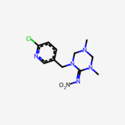 CN1CN(C)/C(=N/[N+](=O)[O-])N(Cc2ccc(Cl)nc2)C1